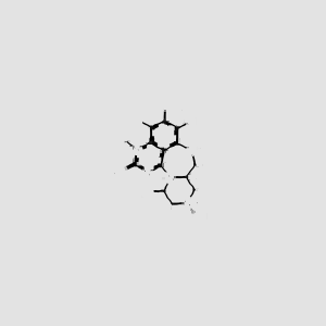 Cc1c(Cl)c2c3c(nc(=O)n(I)c3c1F)N1C(C)CN(C)CC1CS2